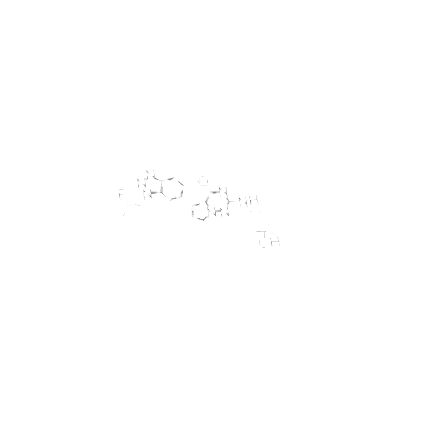 COc1nc(NC2CCC(C)(O)CC2)nn2ccc(-c3ccc4nnn(C[C@@H](C)F)c4c3)c12